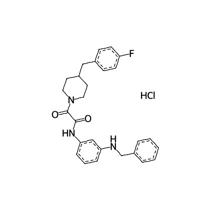 Cl.O=C(Nc1cccc(NCc2ccccc2)c1)C(=O)N1CCC(Cc2ccc(F)cc2)CC1